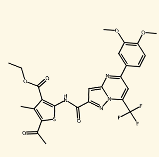 CCOC(=O)c1c(NC(=O)c2cc3nc(-c4ccc(OC)c(OC)c4)cc(C(F)(F)F)n3n2)sc(C(C)=O)c1C